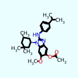 COc1cc2c(cc1OC(C)=O)nc(Nc1ccc(C(C)C)cc1)n2[C@@H]1C[C@H](C)CC(C)(C)C1